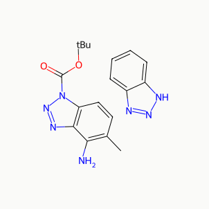 Cc1ccc2c(nnn2C(=O)OC(C)(C)C)c1N.c1ccc2[nH]nnc2c1